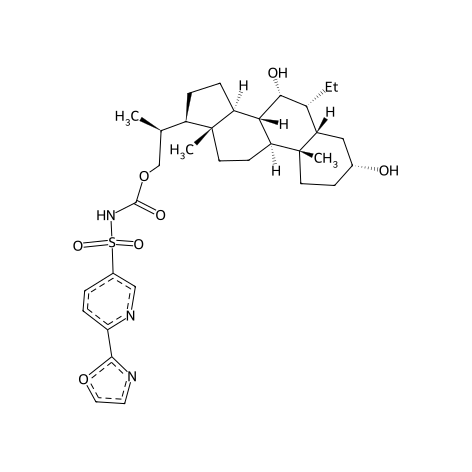 CC[C@H]1[C@@H](O)[C@@H]2[C@H](CC[C@]3(C)[C@@H]([C@H](C)COC(=O)NS(=O)(=O)c4ccc(-c5ncco5)nc4)CC[C@@H]23)[C@@]2(C)CC[C@@H](O)C[C@@H]12